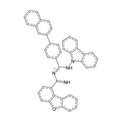 N=C(/N=C(\Nn1c2ccccc2c2ccccc21)c1ccc(-c2ccc3ccccc3c2)cc1)c1cccc2oc3ccccc3c12